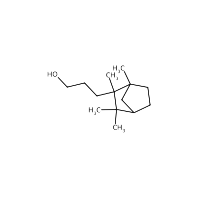 CC12CCC(C1)C(C)(C)C2(C)CCCO